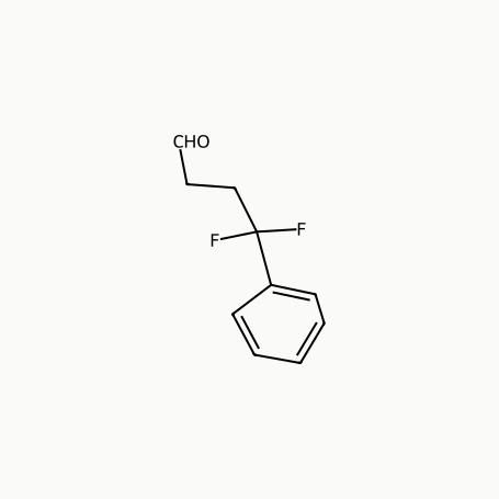 O=CCCC(F)(F)c1ccccc1